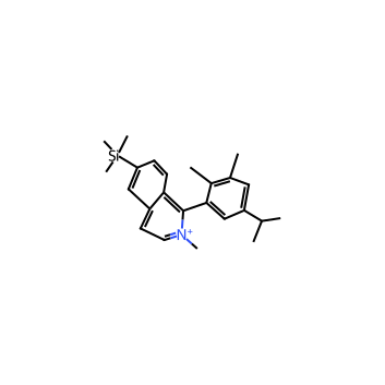 Cc1cc(C(C)C)cc(-c2c3ccc([Si](C)(C)C)cc3cc[n+]2C)c1C